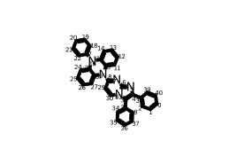 c1ccc(-c2nc3nc(N4c5ccccc5N(c5ccccc5)c5ccccc54)ccn3c2-c2ccccc2)cc1